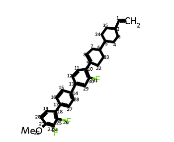 C=CC1CCC(C2CC=C(c3ccc(-c4ccc(-c5ccc(OC)c(F)c5F)cc4)cc3F)CC2)CC1